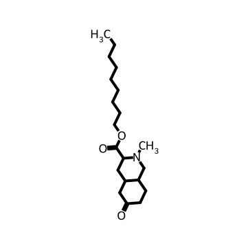 CCCCCCCCCOC(=O)C1CC2CC(=O)CCC2CN1C